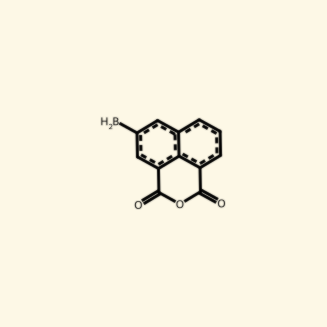 Bc1cc2c3c(cccc3c1)C(=O)OC2=O